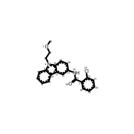 COCCn1c2ccccc2c2cc(NC(=O)c3ccccc3Cl)ccc21